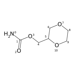 NC(=O)OCC1COCCO1